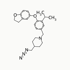 CC(C)c1cc(CN2CCC(CN=[N+]=[N-])CC2)ccc1Oc1ccc2c(c1)CCO2